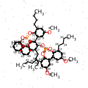 CCCCc1cc(OC)cc(-c2cc(OC)cc(CCCC)c2Op2oc3c(CCCC)cc(OC)cc3c3cc(OC)cc(CCCC)c3o2)c1OP(Oc1ccccc1)Oc1ccccc1